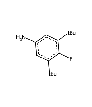 CC(C)(C)c1cc(N)cc(C(C)(C)C)c1F